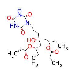 C=CC(=O)OC(CC)CC(O)(CCCn1c(=O)[nH]c(=O)[nH]c1=O)CC(CC)OC(=O)C=C